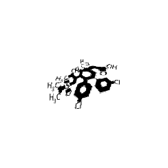 CC(C)C(CS(=O)(=O)C(C)C)C1C(=O)[C@@](C)(CC(=O)O)C[C@H](c2cccc(Cl)c2)C1c1ccc(Cl)cc1